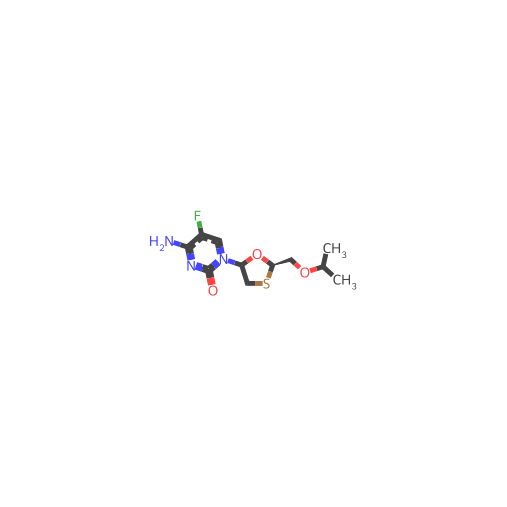 CC(C)OC[C@@H]1OC(n2cc(F)c(N)nc2=O)CS1